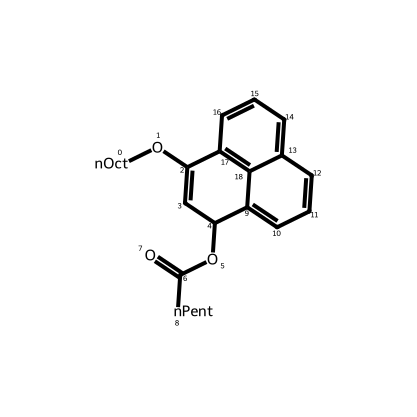 CCCCCCCCOC1=CC(OC(=O)CCCCC)c2cccc3cccc1c23